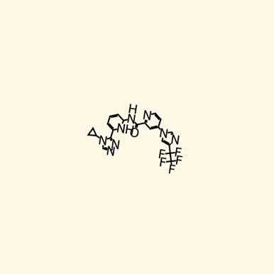 O=C(NC1C=CC=C(c2nncn2C2CC2)N1)c1cc(-n2cnc(C(F)(F)C(F)(F)F)c2)ccn1